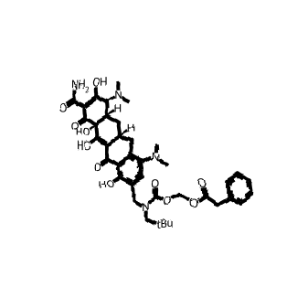 CN(C)c1cc(CN(CC(C)(C)C)C(=O)OCOC(=O)Cc2ccccc2)c(O)c2c1C[C@H]1C[C@H]3[C@H](N(C)C)C(O)=C(C(N)=O)C(=O)[C@@]3(O)C(O)=C1C2=O